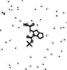 CC(C)(C)OC(=O)N1C(CC(=O)O)CC2CCCC21